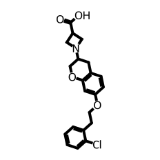 O=C(O)C1CN(C2COc3cc(OCCc4ccccc4Cl)ccc3C2)C1